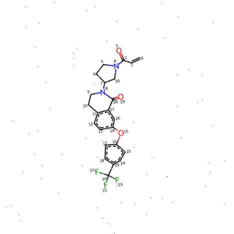 C=CC(=O)N1CCC(N2CCc3ccc(Oc4ccc(C(F)(F)F)cc4)cc3C2=O)C1